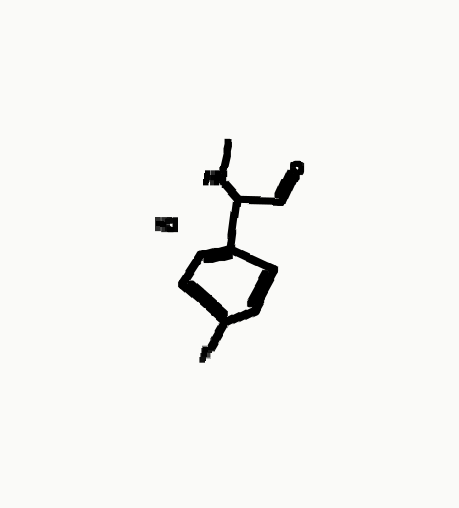 CNC(C=O)c1ccc(F)cc1.Cl